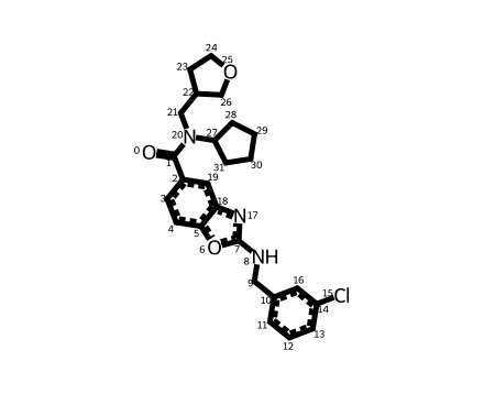 O=C(c1ccc2oc(NCc3cccc(Cl)c3)nc2c1)N(CC1CCOC1)C1CCCC1